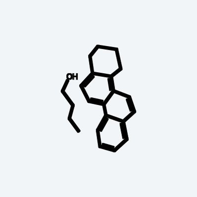 CCCCO.c1ccc2c(c1)ccc1c3c(ccc12)CCCC3